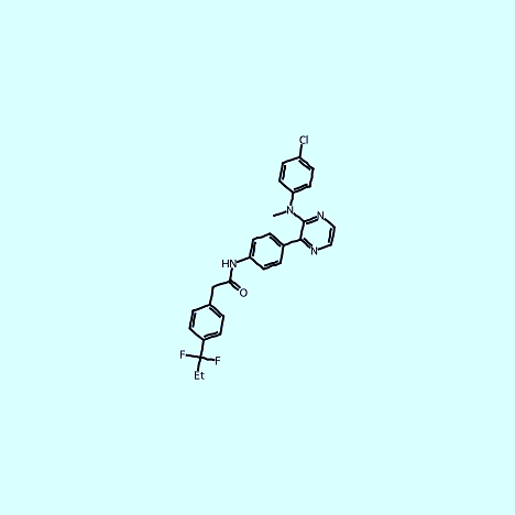 CCC(F)(F)c1ccc(CC(=O)Nc2ccc(-c3nccnc3N(C)c3ccc(Cl)cc3)cc2)cc1